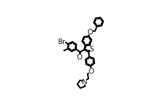 Cc1cc(C(=O)c2c(-c3ccc(OCCN4CCCC4)cc3)sc3cc(OCc4ccccc4)ccc23)ccc1Br